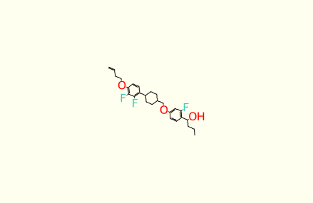 C=CCCOc1ccc(C2CCC(COc3ccc(C(O)CCC)c(F)c3)CC2)c(F)c1F